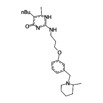 CCCCc1c(C)[nH]c(NCCCOc2cccc(CN3CCCCC3C)c2)nc1=O